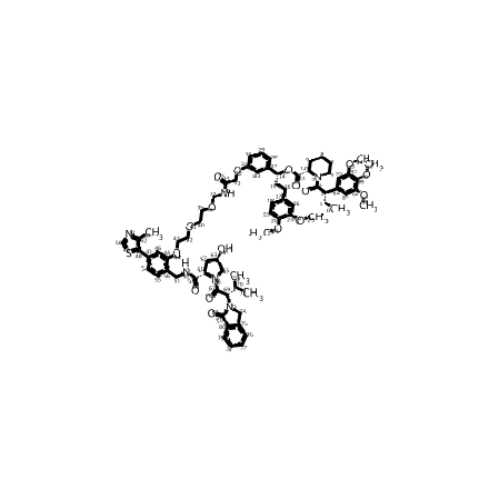 CC[C@H](C(=O)N1CCCC[C@H]1C(=O)O[C@H](CCc1ccc(OC)c(OC)c1)c1cccc(OCC(=O)NCOCCOCCOc2cc(-c3scnc3C)ccc2CNC(=O)[C@@H]2C[C@@H](O)CN2C(=O)[C@H](C(C)C)N2Cc3ccccc3C2=O)c1)c1cc(OC)c(OC)c(OC)c1